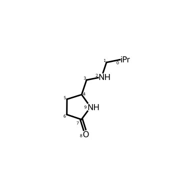 CC(C)CNCC1CCC(=O)N1